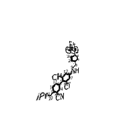 CCS(=O)(=O)c1ccc(CCNc2cc(Cl)c(-c3ccc(CC(C)C)c(C#N)c3)c(Cl)c2)cc1